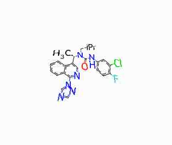 CC(C)CN(C(=O)Nc1ccc(F)c(Cl)c1)[C@H](C)c1cnc(-n2cncn2)c2ccccc12